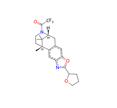 CC1(C)[C@H]2Cc3cc4oc(C5CCCO5)nc4cc3[C@]1(C)CCN2C(=O)C(F)(F)F